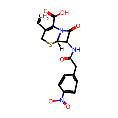 C=CC1=C(C(=O)O)N2C(=O)[C@@H](NC(=O)Cc3ccc([N+](=O)[O-])cc3)[C@@H]2SC1